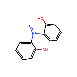 [N-]=[N+](c1ccccc1O)c1ccccc1O